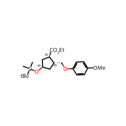 CCOC(=O)[C@@H]1C[C@H](O[Si](C)(C)C(C)(C)C)C[C@H]1COc1ccc(OC)cc1